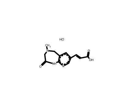 CN1CC(=O)Nc2ncc(C=CC(=O)O)cc2C1.Cl